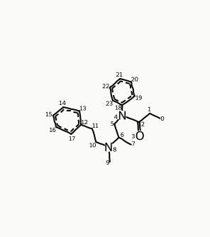 CCC(=O)N(CC(C)N(C)CCc1ccccc1)c1ccccc1